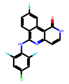 O=c1[nH]ccc2nc(Nc3c(F)cc(Cl)cc3F)c3ccc(F)cc3c12